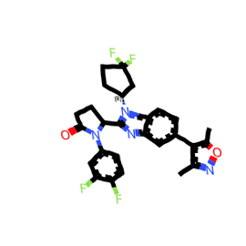 Cc1noc(C)c1-c1ccc2c(c1)nc(C1CCC(=O)N1c1ccc(F)c(F)c1)n2[C@@H]1CCC(F)(F)C1